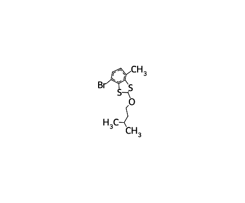 Cc1ccc(Br)c2c1SC(OCCC(C)C)S2